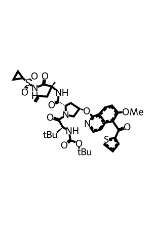 C=CC[C@@](C)(NC(=O)[C@@H]1C[C@@H](Oc2nccc3c(C(=O)c4cccs4)c(OC)ccc23)CN1C(=O)[C@@H](NC(=O)OC(C)(C)C)C(C)(C)C)C(=O)NS(=O)(=O)C1CC1